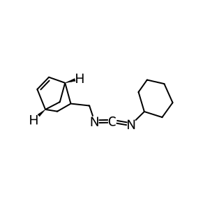 C(=NCC1C[C@@H]2C=C[C@H]1C2)=NC1CCCCC1